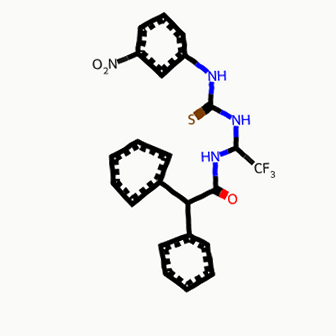 O=C(NC(NC(=S)Nc1cccc([N+](=O)[O-])c1)C(F)(F)F)C(c1ccccc1)c1ccccc1